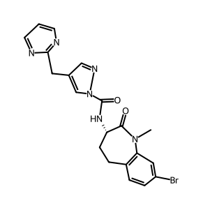 CN1C(=O)[C@@H](NC(=O)n2cc(Cc3ncccn3)cn2)CCc2ccc(Br)cc21